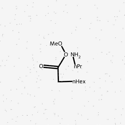 CCCCCCCC(=O)OOC.CCCN